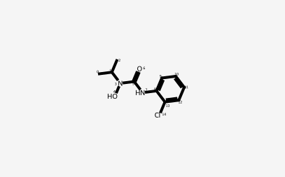 CC(C)N(O)C(=O)Nc1ccccc1Cl